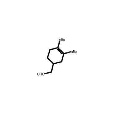 CCCCC1=C(CCCC)CC(CC=O)CC1